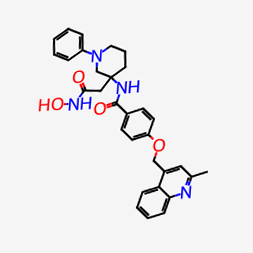 Cc1cc(COc2ccc(C(=O)NC3(CC(=O)NO)CCCN(c4ccccc4)C3)cc2)c2ccccc2n1